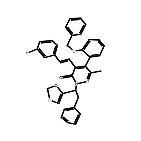 Cc1nn(C(Cc2ccccc2)C2=COCO2)c(=O)c(C=Cc2cccc(F)c2)c1-c1ccccc1OCc1ccccc1